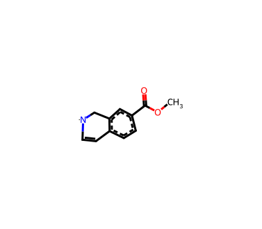 COC(=O)c1ccc2c(c1)C[N]C=C2